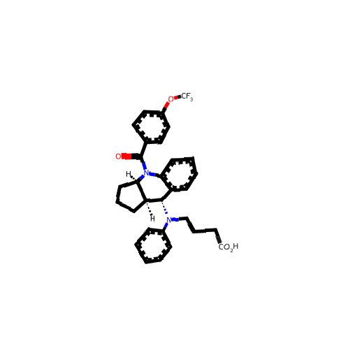 O=C(O)CCCN(c1ccccc1)[C@H]1c2ccccc2N(C(=O)c2ccc(OC(F)(F)F)cc2)[C@@H]2CCC[C@@H]21